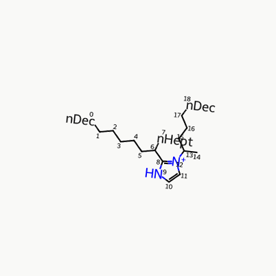 CCCCCCCCCCCCCCCC(CCCCCCC)c1[nH]cc[n+]1C(C)CCCCCCCCCCCCC